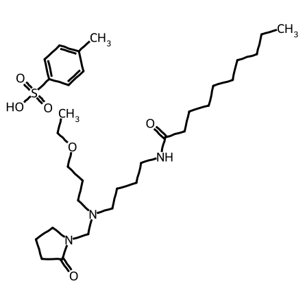 CCCCCCCCCC(=O)NCCCCN(CCCOCC)CN1CCCC1=O.Cc1ccc(S(=O)(=O)O)cc1